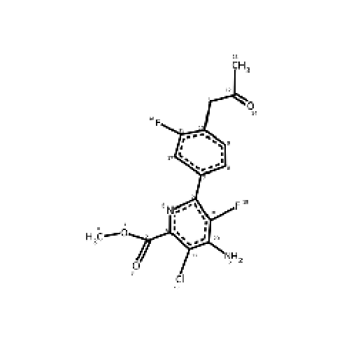 COC(=O)c1nc(-c2ccc(CC(C)=O)c(F)c2)c(F)c(N)c1Cl